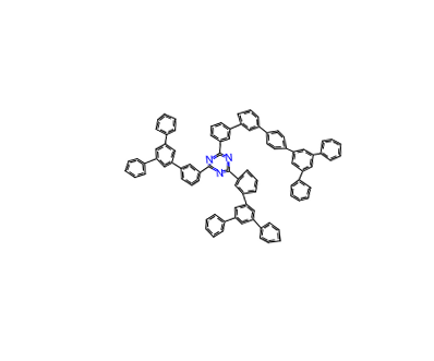 c1ccc(-c2cc(-c3ccccc3)cc(-c3ccc(-c4cccc(-c5cccc(-c6nc(-c7cccc(-c8cc(-c9ccccc9)cc(-c9ccccc9)c8)c7)nc(-c7cccc(-c8cc(-c9ccccc9)cc(-c9ccccc9)c8)c7)n6)c5)c4)cc3)c2)cc1